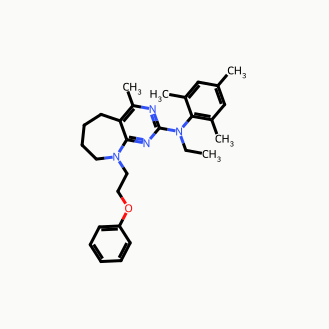 CCN(c1nc(C)c2c(n1)N(CCOc1ccccc1)CCCC2)c1c(C)cc(C)cc1C